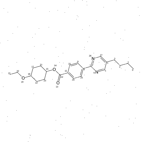 CCCCc1cnc(-c2ccc(C(=O)OC3CCC(OCC)CC3)cc2)nc1